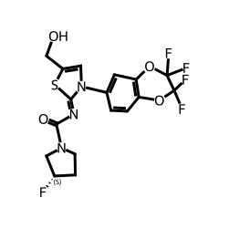 O=C(N=c1sc(CO)cn1-c1ccc2c(c1)OC(F)(F)C(F)(F)O2)N1CC[C@H](F)C1